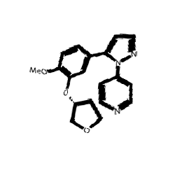 COc1ccc(-c2ccnn2-c2ccncc2)cc1O[C@@H]1CCOC1